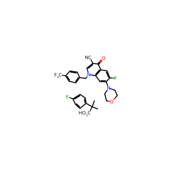 CC(C)(C(=O)O)c1ccc(F)cc1.N#Cc1cn(Cc2ccc(C(F)(F)F)cc2)c2cc(N3CCOCC3)c(F)cc2c1=O